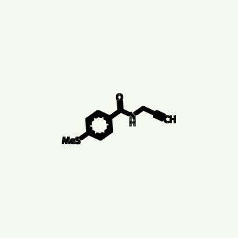 C#CCNC(=O)c1ccc(SC)cc1